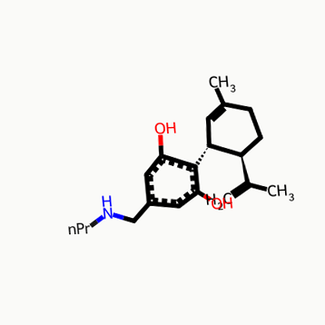 C=C(C)[C@@H]1CCC(C)=C[C@H]1c1c(O)cc(CNCCC)cc1O